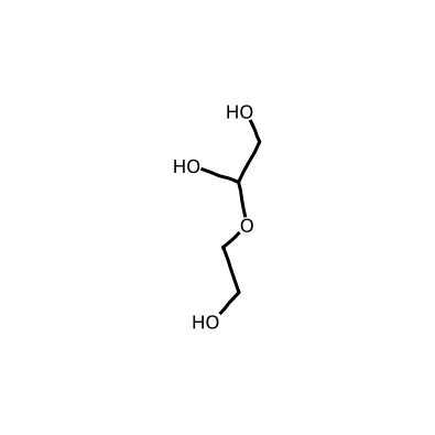 OCCOC(O)CO